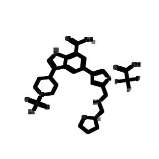 CCS(=O)(=O)N1CCC(c2c[nH]c3c(C(N)=O)cc(-c4csc(CNC[C@H]5CCCO5)c4)cc23)CC1.O=C(O)C(F)(F)F